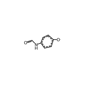 [O]c1ccc(NC=O)cc1